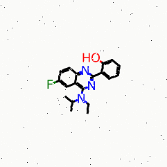 CCN(c1nc(-c2ccccc2O)nc2ccc(F)cc12)C(C)C